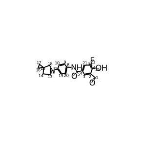 O=Cc1cc(C(=O)Nc2ccc(N3CCC4(CC4)C3)cc2)cc(F)c1O